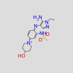 CCn1ncc(/N=C2/C=CC(=[N+]3CCC(O)CC3)C=C2NS(C)(=O)=O)c1N